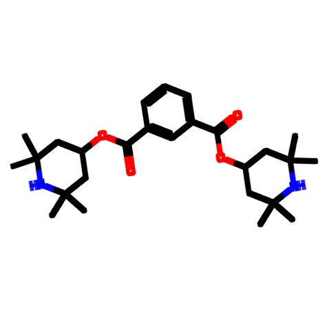 CC1(C)CC(OC(=O)c2cccc(C(=O)OC3CC(C)(C)NC(C)(C)C3)c2)CC(C)(C)N1